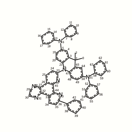 CC1(C)c2cc(N(c3ccccc3)c3ccccc3)ccc2N(c2ccc3c4nccnc4c4ccc(-c5ccccc5)nc4c3n2)c2ccc(N(c3ccccc3)c3ccccc3)cc21